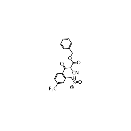 N#CC(C(=O)OCc1ccccc1)C(=O)c1ccc(C(F)(F)F)cc1C[SH](=O)=O